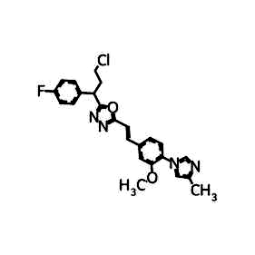 COc1cc(/C=C/c2nnc(C(CCCl)c3ccc(F)cc3)o2)ccc1-n1cnc(C)c1